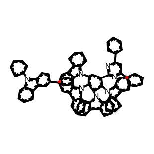 c1ccc(-c2cc(-c3ccccc3)nc(-c3cc(-n4c5ccccc5c5ccccc54)c(-n4c5ccccc5c5cc(-c6ccc7c(c6)c6ccccc6n7-c6ccccc6)ccc54)c(-n4c5ccccc5c5ccccc54)c3-n3c4ccccc4c4ccccc43)n2)cc1